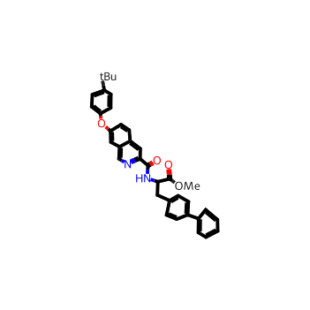 COC(=O)C(Cc1ccc(-c2ccccc2)cc1)NC(=O)c1cc2ccc(Oc3ccc(C(C)(C)C)cc3)cc2cn1